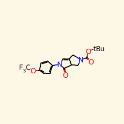 CC(C)(C)OC(=O)N1CC2=CN(c3ccc(OC(F)(F)F)cc3)C(=O)C2C1